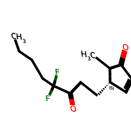 CCCCC(F)(F)C(=O)CC[C@H]1C=CC(=O)C1C